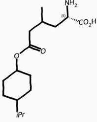 CC(CC(=O)OC1CCC(C(C)C)CC1)C[C@H](N)C(=O)O